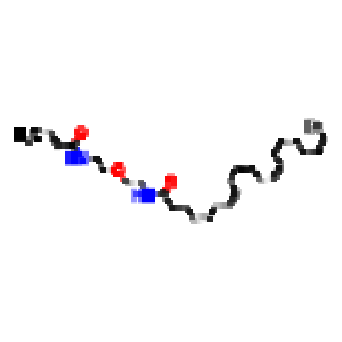 C/C=C/C(=O)NCCOCCNC(=O)CC/C=C\C/C=C\C/C=C\C/C=C\C/C=C\C/C=C\CC